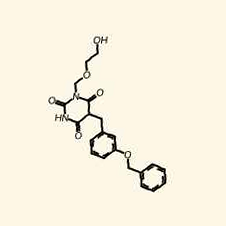 O=C1NC(=O)N(COCCO)C(=O)C1Cc1cccc(OCc2ccccc2)c1